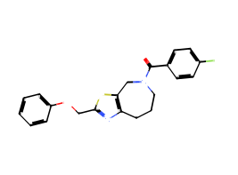 O=C(c1ccc(F)cc1)N1CCCc2nc(COc3ccccc3)sc2C1